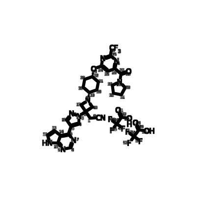 N#CCC1(n2cc(-c3ncnc4[nH]ccc34)cn2)CN([C@H]2CC[C@@H](Oc3cc(C(=O)N4CCCC4)nc(C(F)(F)F)n3)CC2)C1.O=C(O)C(F)(F)F.O=C(O)C(F)(F)F